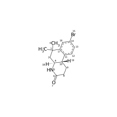 CC1(C)C[C@@H]2NC(=O)CC[C@H]2c2ccc(Br)cc21